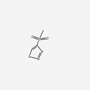 CS(=O)(=O)c1csnn1